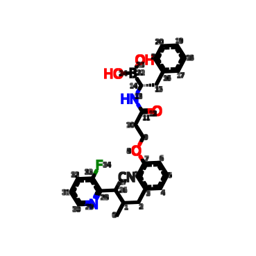 CC(Cc1cccc(OCCC(=O)N[C@@H](Cc2ccccc2)B(O)O)c1)C(C#N)c1ncccc1F